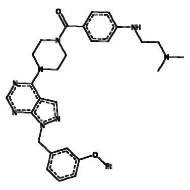 CCOc1cccc(Cn2ncc3c(N4CCN(C(=O)c5ccc(NCCN(C)C)cc5)CC4)ncnc32)c1